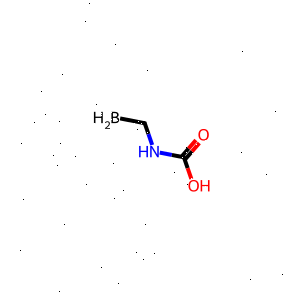 BCNC(=O)O